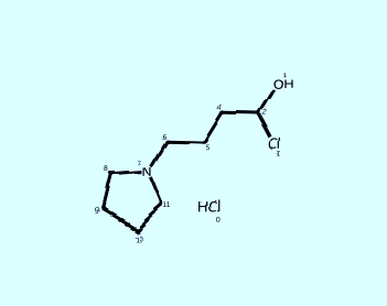 Cl.OC(Cl)CCCN1CCCC1